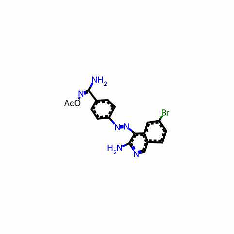 CC(=O)O/N=C(/N)c1ccc(/N=N/c2c(N)ncc3ccc(Br)cc23)cc1